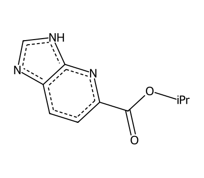 CC(C)OC(=O)c1ccc2nc[nH]c2n1